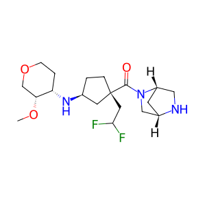 CO[C@@H]1COCC[C@@H]1N[C@H]1CC[C@](CC(F)F)(C(=O)N2C[C@@H]3C[C@H]2CN3)C1